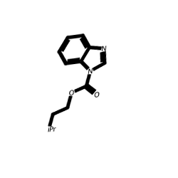 CC(C)CCOC(=O)n1cnc2ccccc21